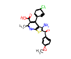 COc1ccc(C(=O)c2sc3nc(C)c(C(=O)O)c(-c4ccc(Cl)cc4)c3c2N)cc1